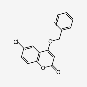 O=c1cc(OCc2ccccn2)c2cc(Cl)ccc2o1